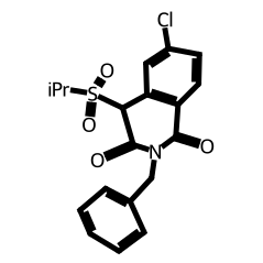 CC(C)S(=O)(=O)C1C(=O)N(Cc2ccccc2)C(=O)c2ccc(Cl)cc21